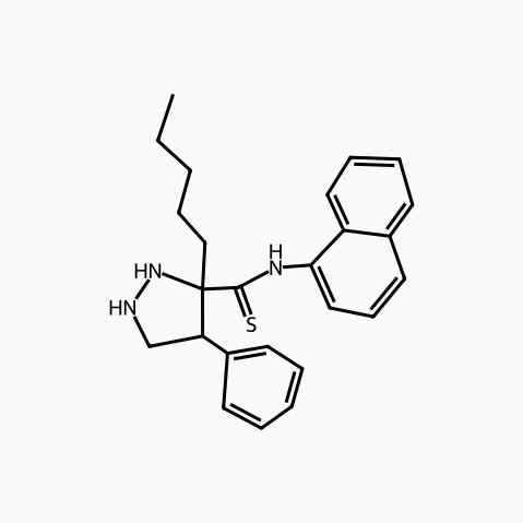 CCCCCC1(C(=S)Nc2cccc3ccccc23)NNCC1c1ccccc1